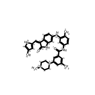 Cc1ccc(NC(=O)c2cc(N3CCN(C)CC3)cc(C(F)(F)F)c2)cc1Nc1ccc2c(c1)NC(=O)/C2=C\c1cc(C#N)c[nH]1